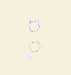 COc1cc([NH])ccc1Oc1cnc(C)nc1